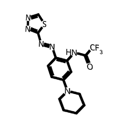 O=C(Nc1cc(N2CCCCC2)ccc1N=Nc1nncs1)C(F)(F)F